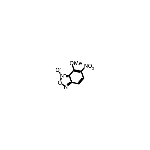 COc1c([N+](=O)[O-])ccc2no[n+]([O-])c12